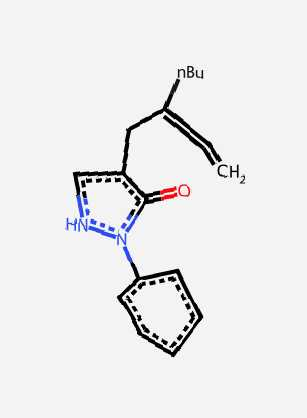 C=C=C(CCCC)Cc1c[nH]n(-c2ccccc2)c1=O